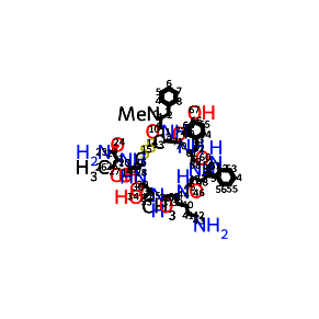 CNC(Cc1ccccc1)C(=O)NC1CSSCC(C(=O)NC(C(N)=O)C(C)O)NC(=O)C(C(C)O)NC(=O)C(CCCCN)NC(=O)C(Cc2c[nH]c3ccccc23)NC(=O)C(Cc2ccc(O)cc2)NC1=O